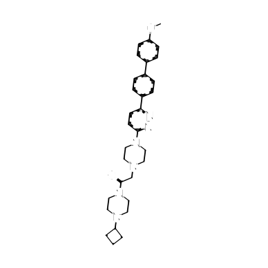 COc1ccc(-c2ccc(-c3ccc(N4CCN(CC(=O)N5CCN(C6CCC6)CC5)CC4)nn3)cc2)cc1